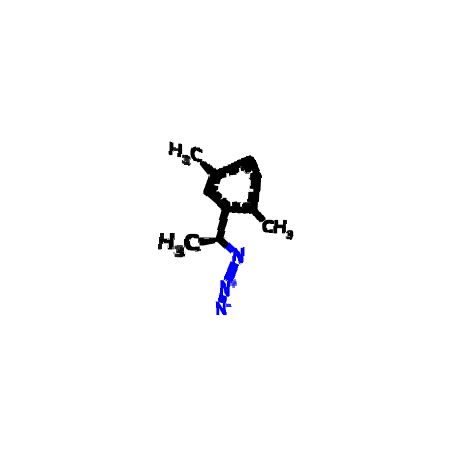 Cc1ccc(C)c([C@H](C)N=[N+]=[N-])c1